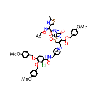 COc1ccc(COC(=O)C2=C(C[N+]34CCC(CNC(=O)c5ccc(OCc6ccc(OC)cc6)c(OCc6ccc(OC)cc6)c5Cl)(CC3)CC4)C[S+]([O-])[C@@H]3[C@@H](NC(=O)/C(=N\OCC(C)=O)c4csc(C)n4)C(=O)N23)cc1